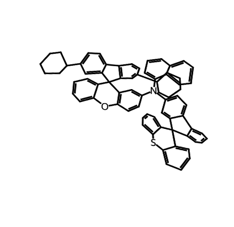 c1ccc2c(c1)Oc1ccc(N(c3ccc4c(c3)C3(c5ccccc5Sc5ccccc53)c3ccccc3-4)c3cccc4ccccc34)cc1C21c2cc(C3CCCCC3)ccc2-c2ccc(C3CCCCC3)cc21